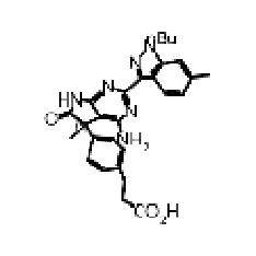 CCCCn1nc(-c2nc(N)c3c(n2)NC(=O)[C@@]3(C)c2ccc(CCC(=O)O)cc2)c2ccc(C)cc21